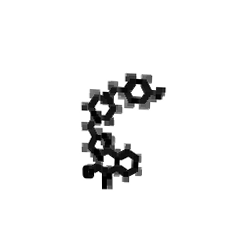 O=C1Nc2ccccc2C2=NC(CN3CCN(Cc4ccc(F)cc4)CC3)CN12